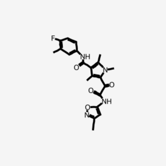 Cc1cc(NC(=O)C(=O)c2c(C)c(C(=O)Nc3ccc(F)c(C)c3)c(C)n2C)on1